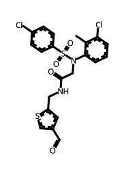 Cc1c(Cl)cccc1N(CC(=O)NCc1cc(C=O)cs1)S(=O)(=O)c1ccc(Cl)cc1